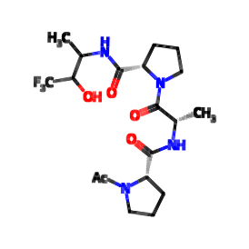 CC(=O)N1CCC[C@H]1C(=O)N[C@@H](C)C(=O)N1CCC[C@H]1C(=O)NC(C)C(O)C(F)(F)F